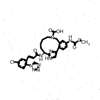 COC(=O)Nc1ccc2c(c1)CN(C(=O)O)CCCC[C@H](NC(=O)C=Cc1cc(Cl)ccc1-n1cnnn1)c1nc-2c[nH]1